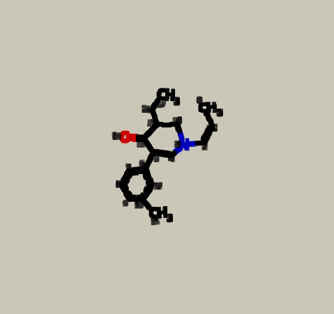 C/C=C\N1C=C(c2cccc(C)c2)C(=O)C(CC)C1